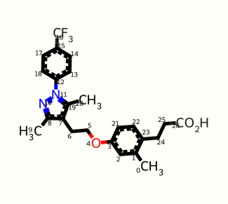 Cc1cc(OCCc2c(C)nn(-c3ccc(C(F)(F)F)cc3)c2C)ccc1CCC(=O)O